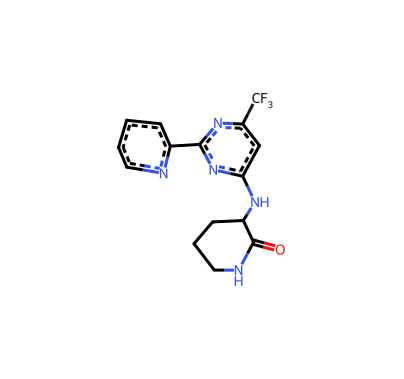 O=C1NCCCC1Nc1cc(C(F)(F)F)nc(-c2ccccn2)n1